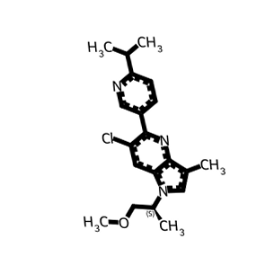 COC[C@H](C)n1cc(C)c2nc(-c3ccc(C(C)C)nc3)c(Cl)cc21